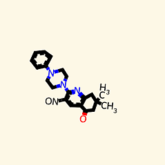 CC1(C)CC(=O)c2cc(N=O)c(N3CCN(c4ccccc4)CC3)nc2C1